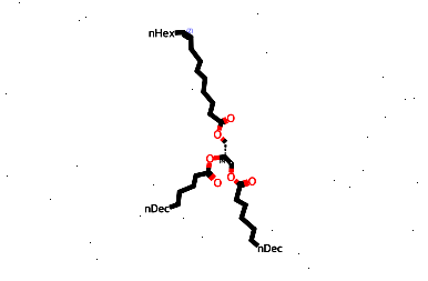 CCCCCC/C=C\CCCCCCCC(=O)OC[C@H](COC(=O)CCCCCCCCCCCCCCC)OC(=O)CCCCCCCCCCCCCC